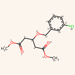 COC(=O)CC(CC(=O)OC)OCc1cccc(Cl)c1